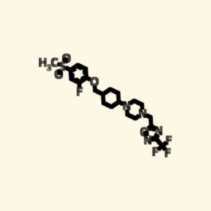 CS(=O)(=O)c1ccc(OCC2CCC(N3CCN(Cc4nc(C(F)(F)F)no4)CC3)CC2)c(F)c1